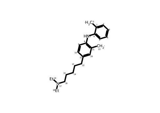 [CH2]c1ccccc1Nc1ccc(CCCCCN(CC)CC)cc1[CH2]